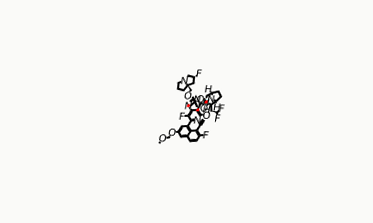 C#Cc1c(F)ccc2cc(OCOC)cc(-c3nc4c5c(nc(OC[C@@]67CCCN6C[C@H](F)C7)nc5c3F)N3C[C@H]5CC[C@@H]([C@H]3[C@@H](C(F)F)O4)N5C(=O)OC(C)(C)C)c12